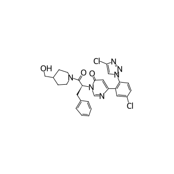 O=C([C@H](Cc1ccccc1)n1cnc(-c2cc(Cl)ccc2-n2cc(Cl)nn2)cc1=O)N1CCC(CO)CC1